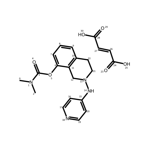 CN(C)C(=O)Oc1cccc2c1CN(Nc1ccncc1)CC2.O=C(O)C=CC(=O)O